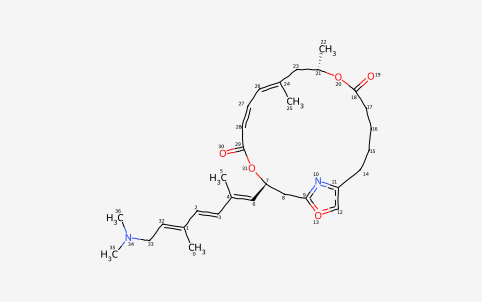 CC(/C=C/C(C)=C/[C@@H]1Cc2nc(co2)CCCCC(=O)O[C@@H](C)C/C(C)=C/C=C\C(=O)O1)=C\CN(C)C